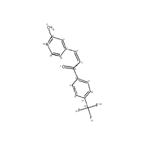 Cc1cc(/C=C\C(=O)c2ccc(C(F)(F)F)cc2)ccn1